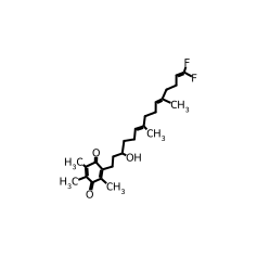 CC1=C(C)C(=O)C(CCC(O)CC/C=C(\C)CC/C=C(\C)CCC=C(F)F)=C(C)C1=O